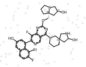 CCc1c(F)ccc2cc(O)cc(-c3ncc4c(N5CCC[C@]6(CNC(O)C6)C5)nc(OC[C@]56CCCN5C[C@@H](O)C6)nc4c3F)c12